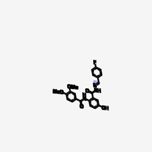 COc1ccc(C(=O)Nc2ccc(O)cc2C(=O)N/N=C/c2ccc(F)cc2)cc1OC